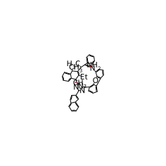 CCC1=C2C(C)c3ccccc3C1(C)c1nc(-c3ccc4ccccc4c3)nc(n1)-c1cccc3c1oc1c(cccc13)-n1c(N)c(c3ccccc31)C2C